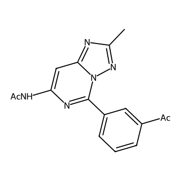 CC(=O)Nc1cc2nc(C)nn2c(-c2cccc(C(C)=O)c2)n1